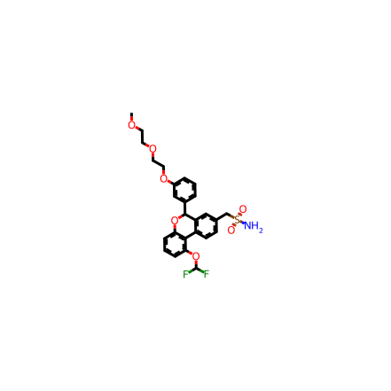 COCCOCCOc1cccc(C2Oc3cccc(OC(F)F)c3-c3ccc(CS(N)(=O)=O)cc32)c1